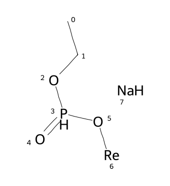 CCO[PH](=O)[O][Re].[NaH]